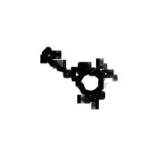 CC1OC(=O)c2c(O)cc(OCCNCc3ncc[nH]3)cc2/C=C/CC(O)C(O)C(=O)/C=C\[C@H]1C